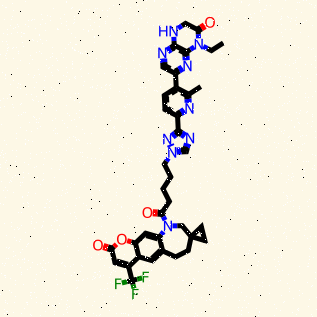 CCN1C(=O)CNc2ncc(-c3ccc(-c4ncn(CCCCC(=O)N5CC6(CCC7=CC8C(C(F)(F)F)=CC(=O)OC8C=C75)CC6)n4)nc3C)nc21